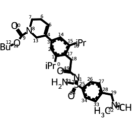 CC(C)c1cc(C2=CCCN(C(=O)OC(C)(C)C)C2)cc(C(C)C)c1CC(=O)N=S(N)(=O)c1ccc(CN(C)C)cc1